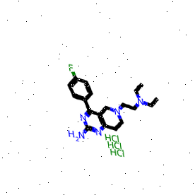 CCN(CC)CCN1CCc2nc(N)nc(-c3ccc(F)cc3)c2C1.Cl.Cl.Cl